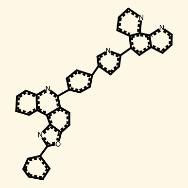 c1ccc(-c2nc3c(ccc4c(-c5ccc(-c6ccc(-c7cc8cccnc8c8ncccc78)nc6)cc5)nc5ccccc5c43)o2)cc1